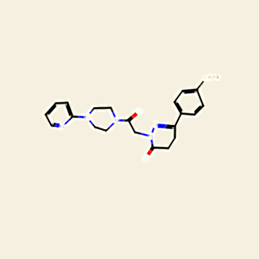 COc1ccc(C2=NN(CC(=O)N3CCN(c4ccccn4)CC3)C(=O)CC2)cc1